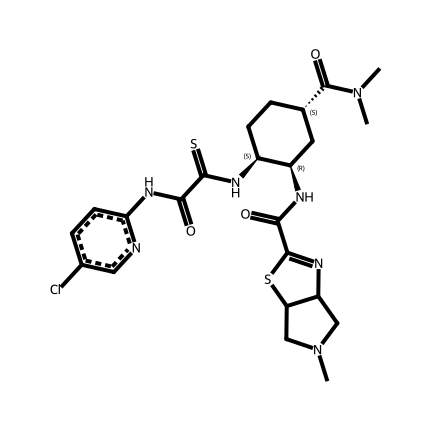 CN1CC2N=C(C(=O)N[C@@H]3C[C@@H](C(=O)N(C)C)CC[C@@H]3NC(=S)C(=O)Nc3ccc(Cl)cn3)SC2C1